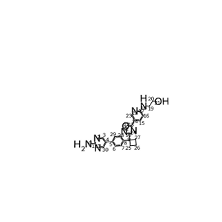 Nc1ncc(-c2ccc(C3(c4noc(-c5ccc(NCCO)nc5)n4)CCC3)cc2)cn1